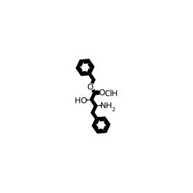 Cl.N[C@H](Cc1ccccc1)[C@H](O)C(=O)OCc1ccccc1